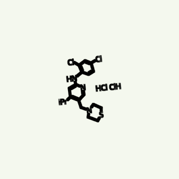 CC(C)c1cc(Nc2ccc(Cl)cc2Cl)ncc1CN1CCSCC1.Cl.Cl